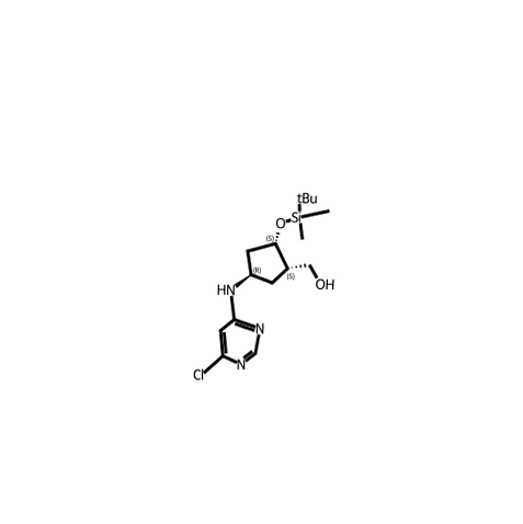 CC(C)(C)[Si](C)(C)O[C@H]1C[C@H](Nc2cc(Cl)ncn2)C[C@H]1CO